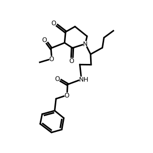 CCCC(CCNC(=O)OCc1ccccc1)N1CCC(=O)C(C(=O)OC)C1=O